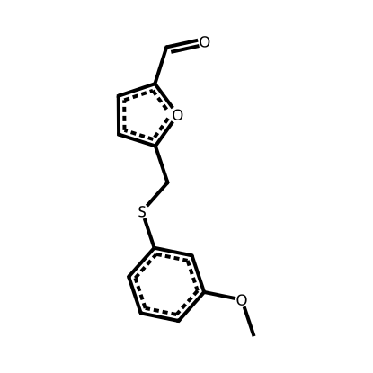 COc1cccc(SCc2ccc(C=O)o2)c1